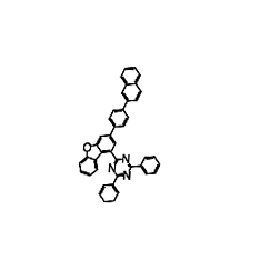 C1=CC(c2nc(-c3ccccc3)nc(-c3cc(-c4ccc(-c5ccc6ccccc6c5)cc4)cc4oc5ccccc5c34)n2)=CCC1